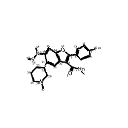 CNC(=O)c1c(-c2ccc(F)cc2)oc2cc(N(C)SC)c([C@@H]3CCCN(C)C3)cc12